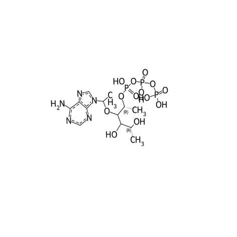 CC(OC(C(O)[C@@H](C)O)[C@@H](C)OP(=O)(O)OP(=O)(O)OP(=O)(O)O)n1cnc2c(N)ncnc21